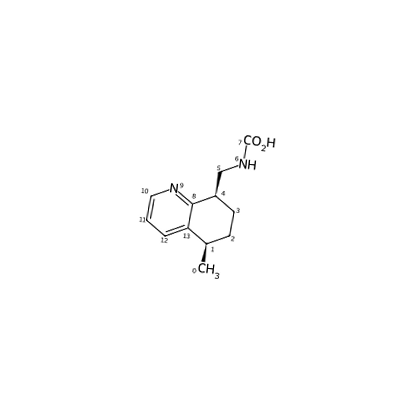 C[C@@H]1CC[C@H](CNC(=O)O)c2ncccc21